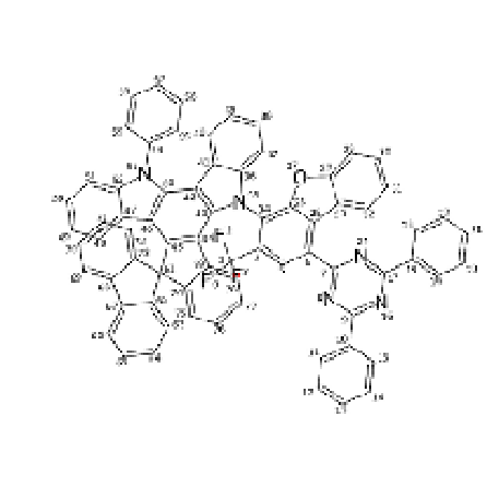 FC(F)(F)c1cc(-c2nc(-c3ccccc3)nc(-c3ccccc3)n2)c2c(oc3ccccc32)c1-n1c2ccccc2c2c1c1c(c3c4ccccc4n(-c4ccccc4)c32)C2(c3ccccc3-c3ccccc32)c2ccccc2-1